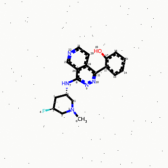 CN1C[C@@H](F)C[C@H](Nc2nnc(-c3ccccc3O)c3ccncc23)C1